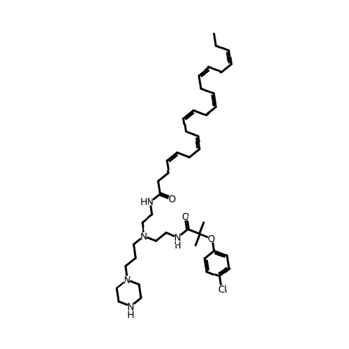 CC/C=C\C/C=C\C/C=C\C/C=C\C/C=C\C/C=C\CCC(=O)NCCN(CCCN1CCNCC1)CCNC(=O)C(C)(C)Oc1ccc(Cl)cc1